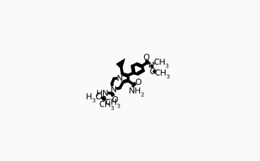 CON(C)C(=O)c1ccc(-c2c(C(N)=O)c3n(c2C2CC2)CCN(C(=O)NC(C)(C)C)C3)cc1